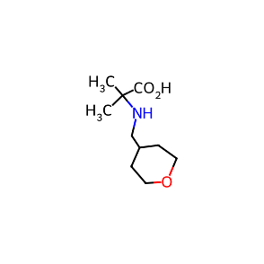 CC(C)(NCC1CCOCC1)C(=O)O